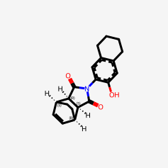 O=C1[C@@H]2[C@H](C(=O)N1c1cc3c(cc1O)CCCC3)[C@@H]1C=C[C@H]2CC1